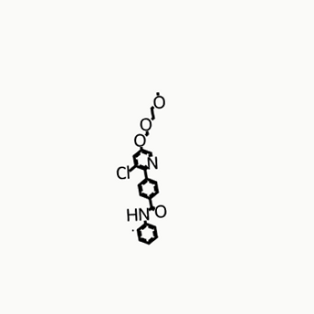 COCCOCOc1cnc(-c2ccc(C(=O)Nc3[c]cccc3)cc2)c(Cl)c1